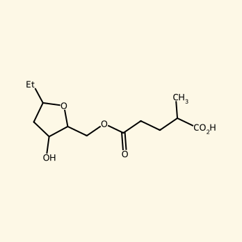 CCC1CC(O)C(COC(=O)CCC(C)C(=O)O)O1